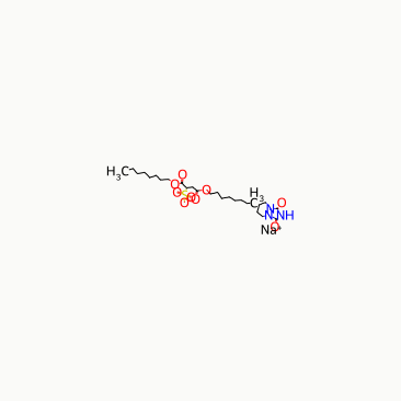 CCCCCCCCOC(=O)CC(C(=O)OCCCCCCCC)S(=O)(=O)[O-].O=c1[nH]c(=O)n2n1CCCC2.[Na+]